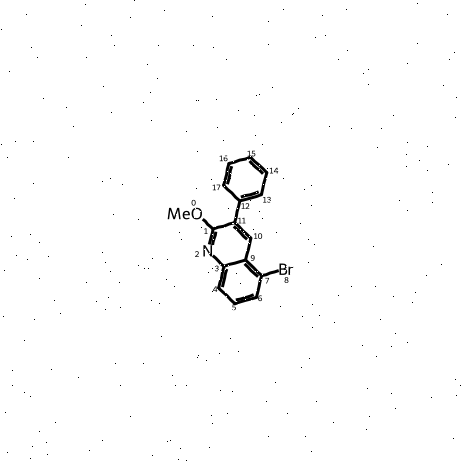 COc1nc2cccc(Br)c2cc1-c1ccccc1